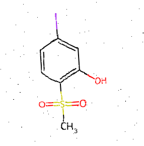 CS(=O)(=O)c1ccc(I)cc1O